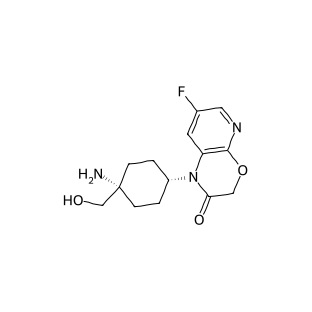 N[C@]1(CO)CC[C@H](N2C(=O)COc3ncc(F)cc32)CC1